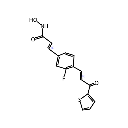 O=C(/C=C/c1ccc(/C=C/C(=O)c2cccs2)c(F)c1)NO